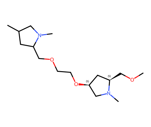 COC[C@@H]1C[C@H](OCCOCC2CC(C)CN2C)CN1C